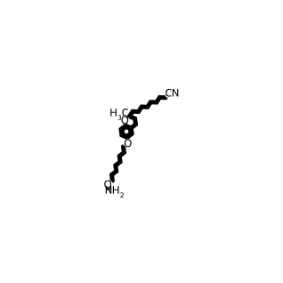 CC1(CCCCCCCCC#N)CCc2cc(OCCCCCCCCON)ccc2O1